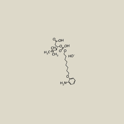 C[N+](C)(C)C[C@@H](CC(=O)O)OP(=O)(O)OCCCCCCCCOc1ccccc1N.[OH-]